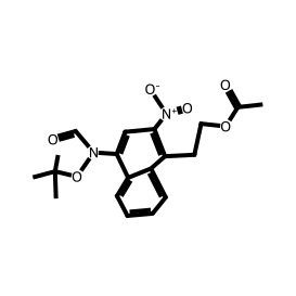 CC(=O)OCCc1c([N+](=O)[O-])cc(N(C=O)OC(C)(C)C)c2ccccc12